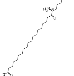 NCCCC[C@H](N)C(=O)CCCCCCCCCCCCCCCCCC(=O)O